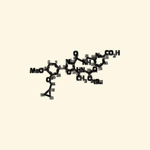 COc1ccc(-c2nc(C(=O)NCc3cccc(C(=O)O)n3)c(C(C)NC(=O)OC(C)(C)C)o2)cc1OCC1CC1